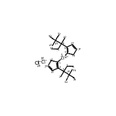 CCC(C)(C1=[C]([Zr+2][C]2=C(C(C)(CC)C(C)(C)C)C=CC2)CC=C1)C(C)(C)C.[Cl-].[Cl-]